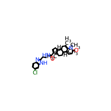 CC1=C2N(C)C(=O)CC[C@]2(C)[C@@H]2CC[C@]3(C)C(C(=O)NCCc4nc5ccc(Cl)cc5[nH]4)CC[C@H]3[C@@H]2C1